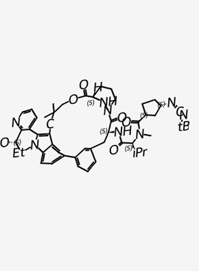 CCn1c(-c2cccnc2[C@H](C)OC)c2c3cc(ccc31)-c1cccc(c1)C[C@H](NC(=O)[C@H](C(C)C)N(C)C(=O)[C@H]1CC[C@H](N=C=NC(C)(C)C)C1)C(=O)N1CCC[C@H](N1)C(=O)OCC(C)(C)C2